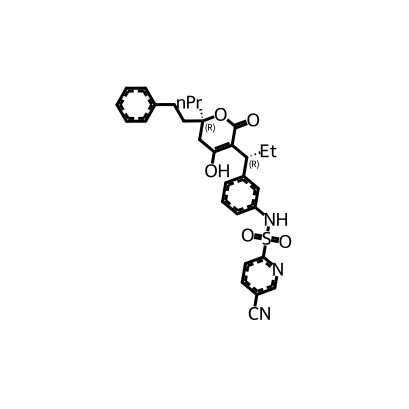 CCC[C@@]1(CCc2ccccc2)CC(O)=C([C@H](CC)c2cccc(NS(=O)(=O)c3ccc(C#N)cn3)c2)C(=O)O1